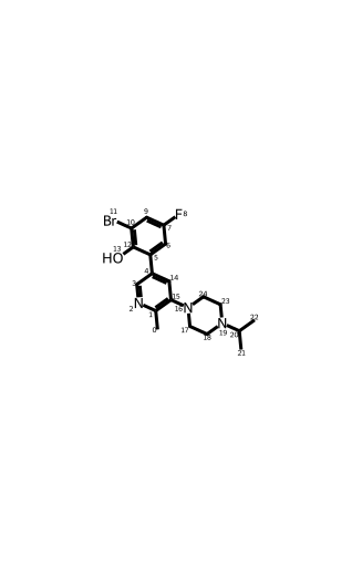 Cc1ncc(-c2cc(F)cc(Br)c2O)cc1N1CCN(C(C)C)CC1